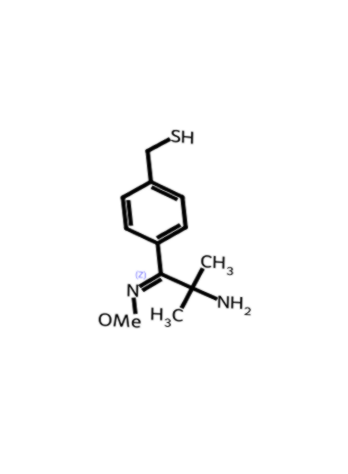 CO/N=C(/c1ccc(CS)cc1)C(C)(C)N